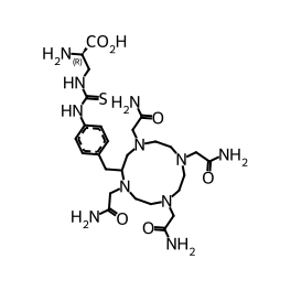 NC(=O)CN1CCN(CC(N)=O)CCN(CC(N)=O)C(Cc2ccc(NC(=S)NC[C@@H](N)C(=O)O)cc2)CN(CC(N)=O)CC1